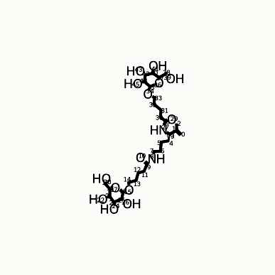 C=C(C)[C@@H](CCCCNC(=O)CCCCOC1OC(CO)C(O)C(O)C1O)NC(=O)CCCCOC1OC(CO)C(O)C(O)C1O